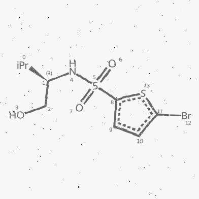 CC(C)[C@H](CO)NS(=O)(=O)c1ccc(Br)s1